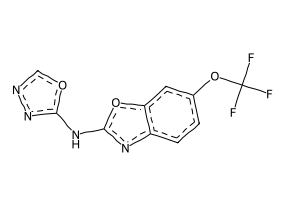 FC(F)(F)Oc1ccc2nc(Nc3nnco3)oc2c1